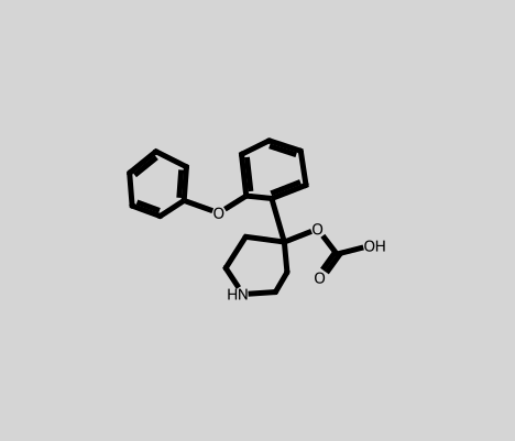 O=C(O)OC1(c2ccccc2Oc2ccccc2)CCNCC1